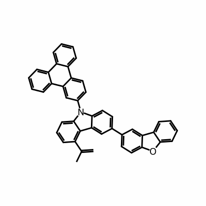 C=C(C)c1cccc2c1c1cc(-c3ccc4oc5ccccc5c4c3)ccc1n2-c1ccc2c3ccccc3c3ccccc3c2c1